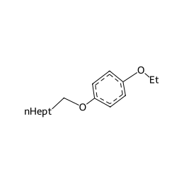 [CH2]COc1ccc(OCCCCCCCC)cc1